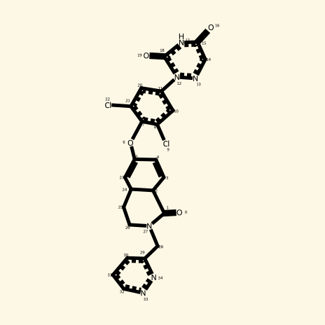 O=C1C2C=CC(Oc3c(Cl)cc(-n4ncc(=O)[nH]c4=O)cc3Cl)=CC2CCN1Cc1cccnn1